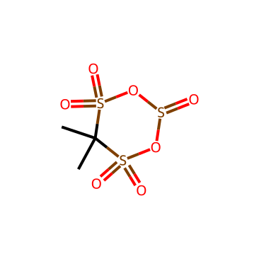 CC1(C)S(=O)(=O)OS(=O)OS1(=O)=O